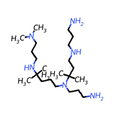 CN(C)CCCNC(C)(C)CCCN(CCCN)C(C)(C)CCNCCCN